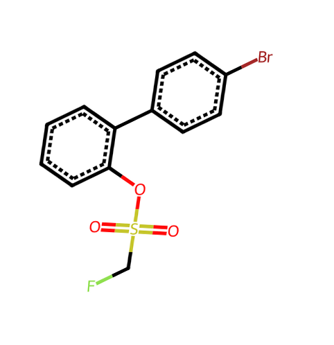 O=S(=O)(CF)Oc1ccccc1-c1ccc(Br)cc1